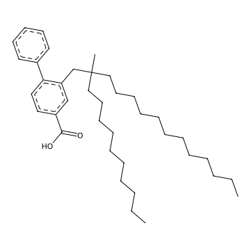 CCCCCCCCCCCCC(C)(CCCCCCCCCC)Cc1cc(C(=O)O)ccc1-c1ccccc1